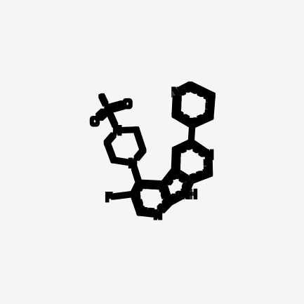 CS(=O)(=O)N1CCN(c2c(F)cnc3[nH]c4cnc(-c5cccnc5)cc4c23)CC1